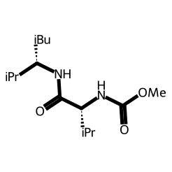 CCC(C)[C@H](NC(=O)[C@H](NC(=O)OC)C(C)C)C(C)C